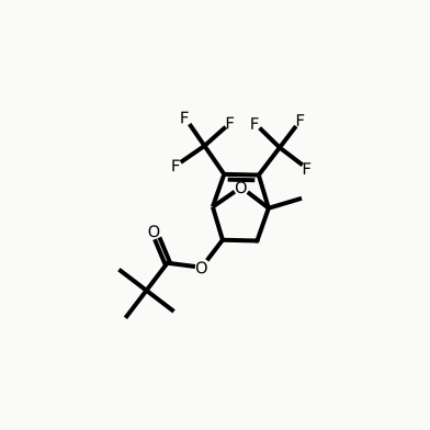 CC(C)(C)C(=O)OC1CC2(C)OC1C(C(F)(F)F)=C2C(F)(F)F